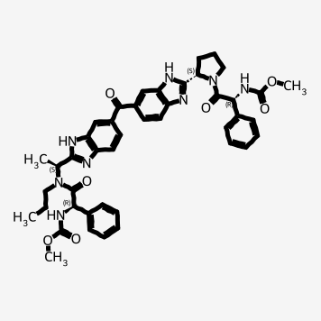 CCCN(C(=O)[C@H](NC(=O)OC)c1ccccc1)[C@@H](C)c1nc2ccc(C(=O)c3ccc4nc([C@@H]5CCCN5C(=O)[C@H](NC(=O)OC)c5ccccc5)[nH]c4c3)cc2[nH]1